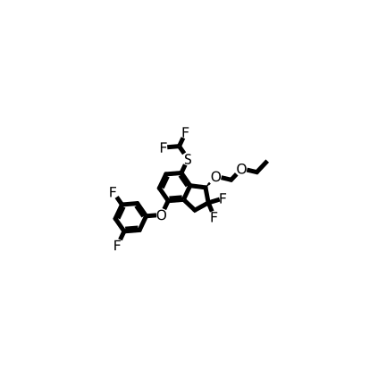 CCOCO[C@H]1c2c(SC(F)F)ccc(Oc3cc(F)cc(F)c3)c2CC1(F)F